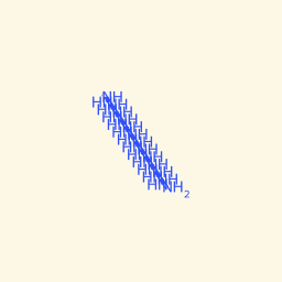 CNNNNNNNNNNNNNNNNNNNNNNNNN